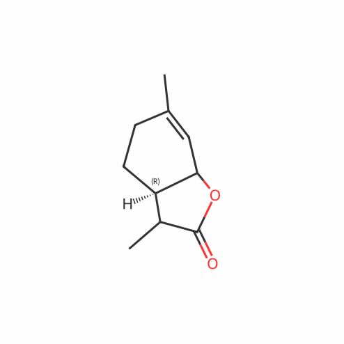 CC1=CC2OC(=O)C(C)[C@H]2CC1